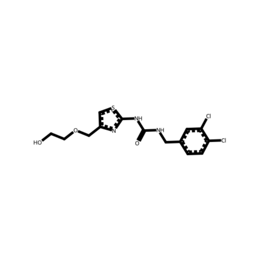 O=C(NCc1ccc(Cl)c(Cl)c1)Nc1nc(COCCO)cs1